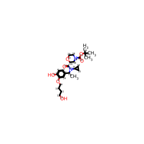 C[C@H](c1ccc(O)c(OCCCCO)c1)N(C(=O)[C@H]1CN(C(=O)OC(C)(C)C)CCO1)C1CC1